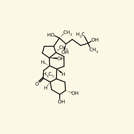 CC(C)(O)CC[C@@H](O)[C@](C)(O)C1CC[C@@]2(O)[C@@H]3CC(=O)[C@@H]4CC(O)[C@@H](O)C[C@]4(C)[C@H]3CC[C@]12C